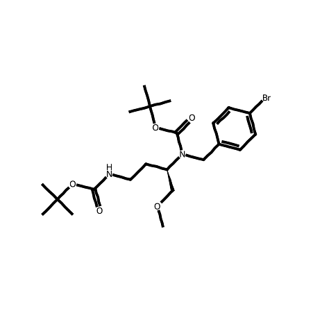 COC[C@@H](CCNC(=O)OC(C)(C)C)N(Cc1ccc(Br)cc1)C(=O)OC(C)(C)C